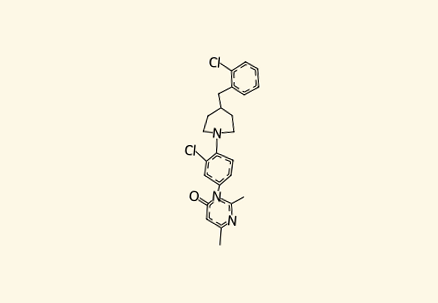 Cc1cc(=O)n(-c2ccc(N3CCC(Cc4ccccc4Cl)CC3)c(Cl)c2)c(C)n1